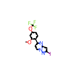 COc1cc(OC(F)(F)F)ccc1-c1ccn2nc(I)cc2n1